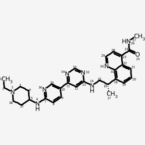 CCN1CCC(Nc2ccc(-c3cc(NC[C@@H](C)c4cccc5c(C(=O)NC)ccnc45)ncn3)cn2)CC1